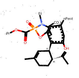 C=C(C)[C@@H]1CCC(C)=C[C@H]1c1c(O)cc(CCCCC)cc1OP(=O)(C(=O)OC(C)C)N(CC)C(C)C(=O)O